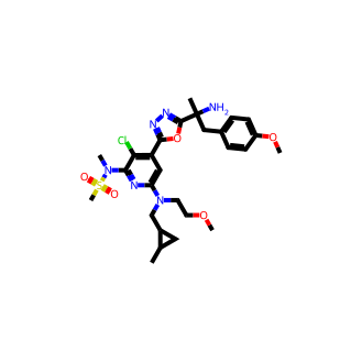 COCCN(CC1CC1C)c1cc(-c2nnc(C(C)(N)Cc3ccc(OC)cc3)o2)c(Cl)c(N(C)S(C)(=O)=O)n1